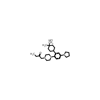 CCC(=O)CN1CCN(c2ccc(N3CCCC3)cc2C2CCC(C)(C)CC2)CC1.Cl